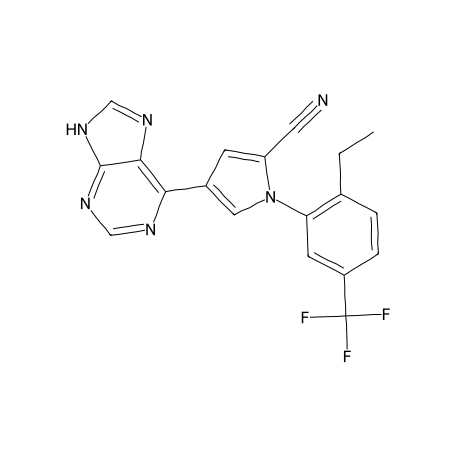 CCc1ccc(C(F)(F)F)cc1-n1cc(-c2ncnc3[nH]cnc23)cc1C#N